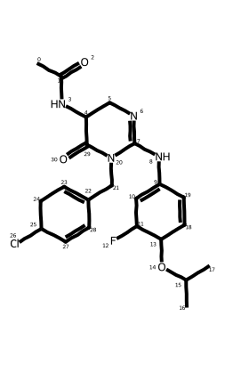 CC(=O)NC1CN=C(NC2=CC(F)C(OC(C)C)C=C2)N(CC2=CCC(Cl)C=C2)C1=O